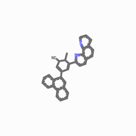 CC1C(c2ccc3ccc4cccnc4c3n2)=CC(c2cc3ccccc3c3ccccc23)=CC1C#N